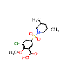 COc1c(Cl)cc(S(=O)(=O)N2C[C@H](C)C[C@H](C)C2)cc1C(=O)O